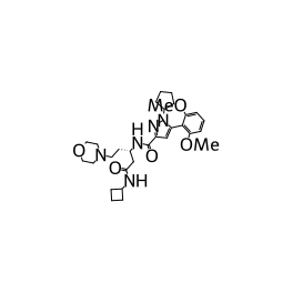 COc1cccc(OC)c1-c1cc(C(=O)N[C@@H](CCN2CCOCC2)CC(=O)NC2CCC2)nn1C1CCCC1